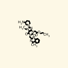 CCCOC(=O)Cn1c(=O)n(Cc2nc(C)c3ccccc3n2)c(=O)c2c1nc(N1CCCC(N)C1)n2CC